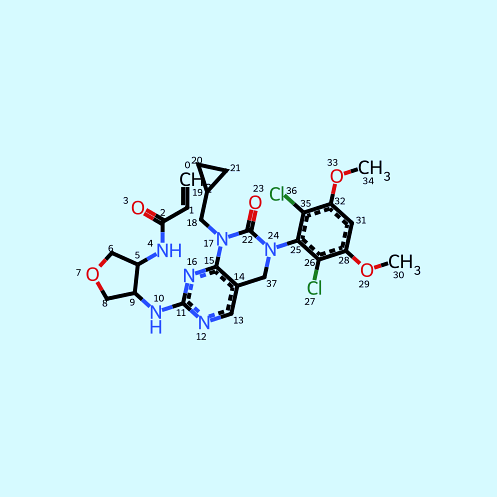 C=CC(=O)NC1COCC1Nc1ncc2c(n1)N(CC1CC1)C(=O)N(c1c(Cl)c(OC)cc(OC)c1Cl)C2